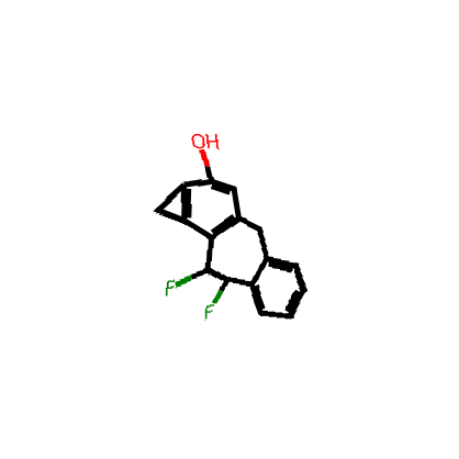 Oc1cc2c(c3c1C3)C(F)C(F)c1ccccc1C2